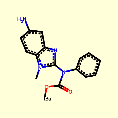 Cn1c(N(C(=O)OC(C)(C)C)c2ccccc2)nc2cc(N)ccc21